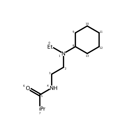 CCN(CCNC(=O)C(C)C)C1CCCCC1